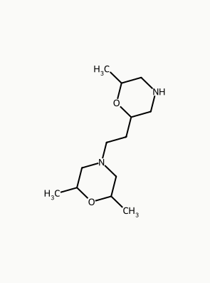 CC1CN(CCC2CNCC(C)O2)CC(C)O1